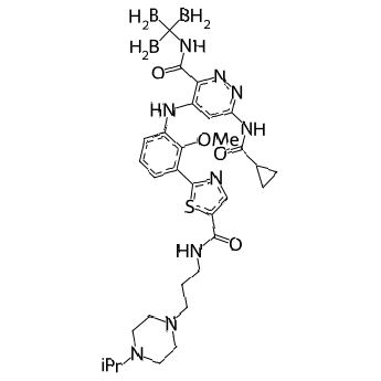 BC(B)(B)NC(=O)c1nnc(NC(=O)C2CC2)cc1Nc1cccc(-c2ncc(C(=O)NCCCN3CCN(C(C)C)CC3)s2)c1OC